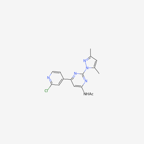 CC(=O)Nc1cc(-c2ccnc(Cl)c2)nc(-n2nc(C)cc2C)n1